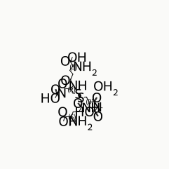 CN(C(=O)O)C(=O)[C@H](CSSC[C@H](NC(=O)CC[C@H](N)C(=O)O)C(=O)N(C)C(=O)O)NC(=O)CC[C@H](N)C(=O)O.O